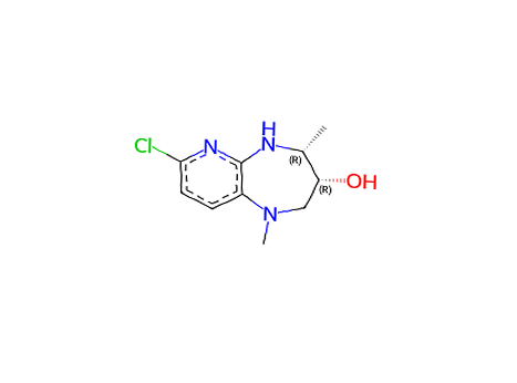 C[C@H]1Nc2nc(Cl)ccc2N(C)C[C@H]1O